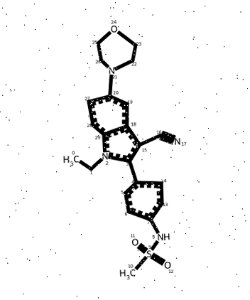 CCn1c(-c2ccc(NS(C)(=O)=O)cc2)c(C#N)c2cc(N3CCOCC3)ccc21